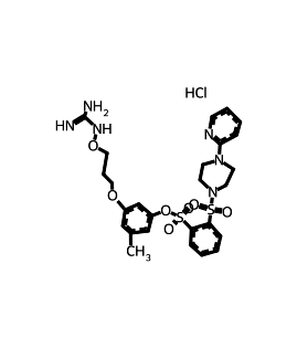 Cc1cc(OCCCONC(=N)N)cc(OS(=O)(=O)c2ccccc2S(=O)(=O)N2CCN(c3ccccn3)CC2)c1.Cl